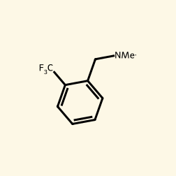 C[N]Cc1ccccc1C(F)(F)F